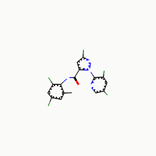 O=Cc1cc(Cl)cc(Cl)c1NC(=O)c1cc(Br)nn1-c1ncc(Cl)cc1Cl